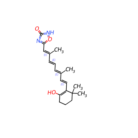 CC(/C=C/C1=C(O)CCCC1(C)C)=C\C=C\C(C)=C\c1nc(=O)[nH]o1